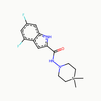 C[Si]1(C)CCN(NC(=O)c2cc3c(F)cc(F)cc3[nH]2)CC1